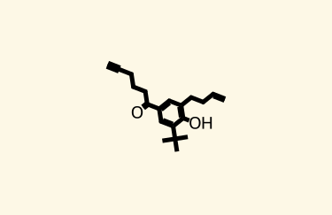 C#CCCCC(=O)c1cc(CCC=C)c(O)c(C(C)(C)C)c1